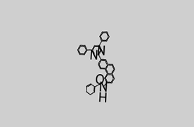 C1=CC(C2Nc3ccc4ccc5cc(-c6nc(-c7ccccc7)cc(-c7ccccc7)n6)ccc5c4c3O2)=CCC1